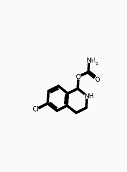 NC(=O)OC1NCCc2cc(Cl)ccc21